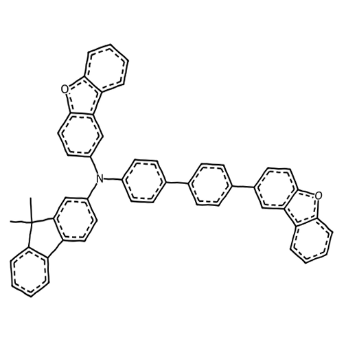 CC1(C)c2ccccc2-c2ccc(N(c3ccc(-c4ccc(-c5ccc6oc7ccccc7c6c5)cc4)cc3)c3ccc4oc5ccccc5c4c3)cc21